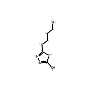 SCCCSc1nnc(S)s1